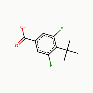 CC(C)(C)c1c(F)cc(C(=O)O)cc1F